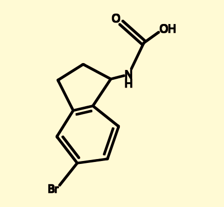 O=C(O)NC1CCc2cc(Br)ccc21